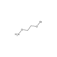 CCOCCON